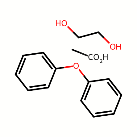 CC(=O)O.OCCO.c1ccc(Oc2ccccc2)cc1